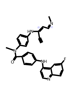 C#C/C(=C\C=N/C)Nc1ccc(N(C)C(=O)c2ccc(Nc3ccnc4ccc(F)cc34)cc2)cc1